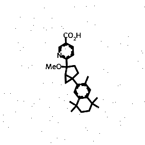 COC1(c2ccc(C(=O)O)cn2)CCC2(c3cc4c(cc3C)C(C)(C)CCC4(C)C)CC21